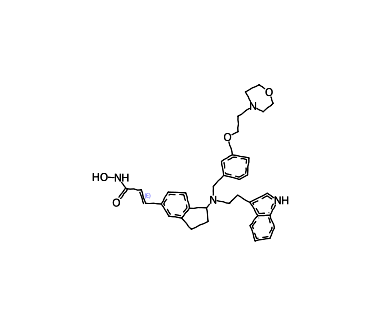 O=C(/C=C/c1ccc2c(c1)CCC2N(CCc1c[nH]c2ccccc12)Cc1cccc(OCCN2CCOCC2)c1)NO